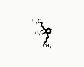 C=Cc1c(CCCCC)cccc1CCCCC